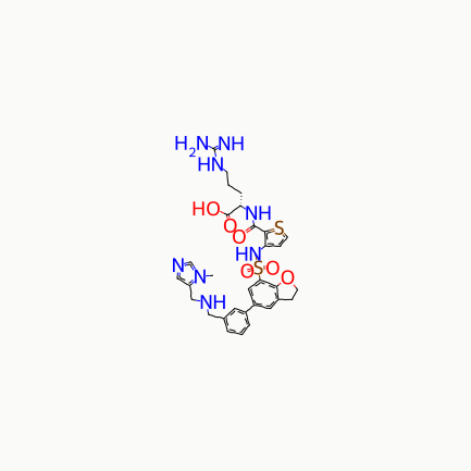 Cn1cncc1CNCc1cccc(-c2cc3c(c(S(=O)(=O)Nc4ccsc4C(=O)N[C@@H](CCCNC(=N)N)C(=O)O)c2)OCC3)c1